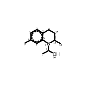 Cc1ccc2c(c1)N(C(C)O)C(C)CC2